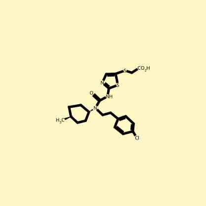 C[C@H]1CC[C@H](N(CCc2ccc(Cl)cc2)C(=O)Nc2ncc(SCC(=O)O)s2)CC1